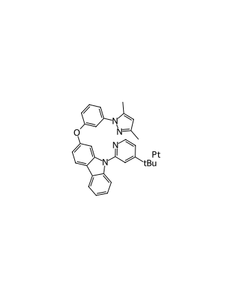 Cc1cc(C)n(-c2cccc(Oc3ccc4c5ccccc5n(-c5cc(C(C)(C)C)ccn5)c4c3)c2)n1.[Pt]